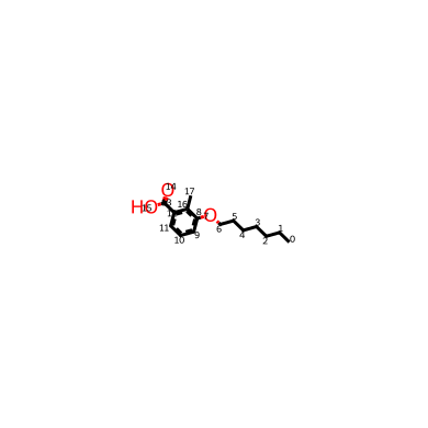 CCCCCCCOc1cccc(C(=O)O)c1C